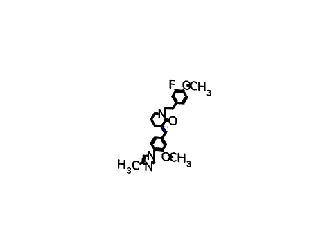 COc1ccc(CCN2CCC/C(=C\c3ccc(-n4cnc(C)c4)c(OC)c3)C2=O)cc1F